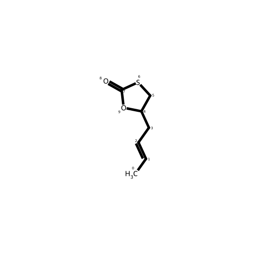 CC=CCC1CSC(=O)O1